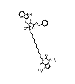 Cn1cnc2c1c(=O)n(CCCCCCCCCCCNC(=O)C(Cc1c[nH]c3ccccc13)NC(=O)OCc1ccccc1)c(=O)n2C